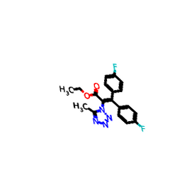 CCOC(=O)C(=C(c1ccc(F)cc1)c1ccc(F)cc1)n1nnnc1C